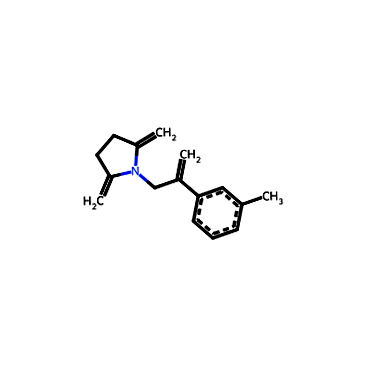 C=C(CN1C(=C)CCC1=C)c1cccc(C)c1